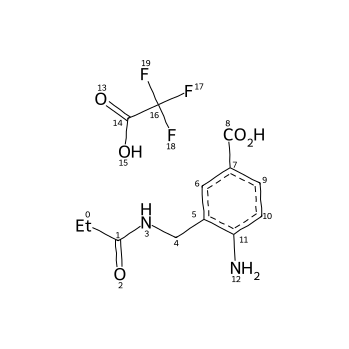 CCC(=O)NCc1cc(C(=O)O)ccc1N.O=C(O)C(F)(F)F